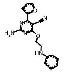 N#Cc1c(OCCNc2ccccc2)nc(N)nc1-c1ccco1